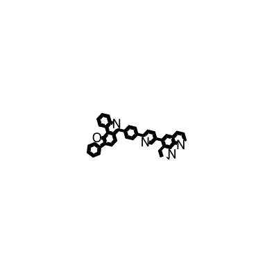 C=Cc1c(-c2ccc(-c3ccc(-c4nc5ccccc5c5c4ccc4c6ccccc6oc45)cc3)nc2)cc2cccnc2c1N=C